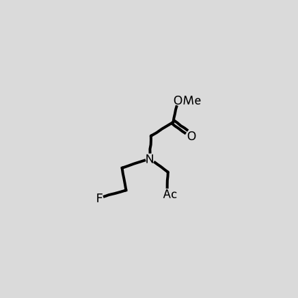 COC(=O)CN(CCF)CC(C)=O